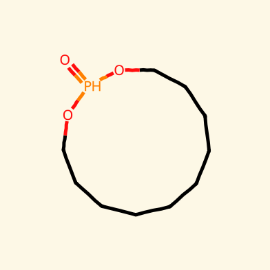 O=[PH]1OCCCCCCCCCCO1